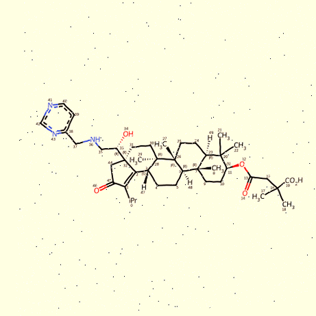 CC(C)C1=C2[C@H]3CC[C@@H]4[C@@]5(C)CC[C@H](OC(=O)CC(C)(C)C(=O)O)C(C)(C)[C@@H]5CC[C@@]4(C)[C@]3(C)CC[C@@]2([C@@H](O)CNCc2ccncn2)CC1=O